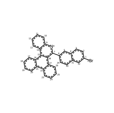 Brc1ccc2cc(-c3nc4ccccc4c4c5ccccc5c5ccccc5c34)ccc2c1